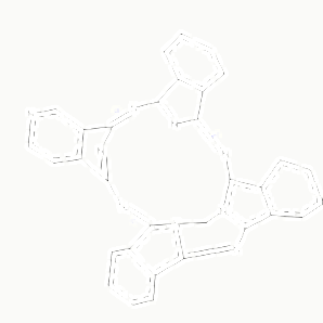 c1ccc2c(c1)C1=NC/2=N\c2c3ccccc3c3n2Cn2c(c4ccccc4/c2=N/C2=NC(=N\1)/c1cnccc12)=N3